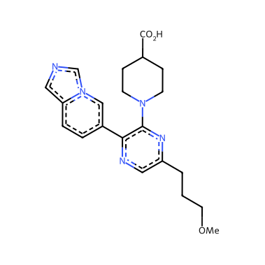 COCCCc1cnc(-c2ccc3cncn3c2)c(N2CCC(C(=O)O)CC2)n1